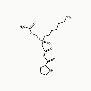 CC(=O)OCOP(=O)(CCCCCCN)CC(=O)OC(=O)[C@@H]1CCCN1